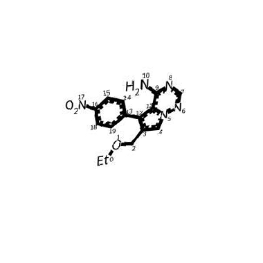 CCOCc1cn2ncnc(N)c2c1-c1ccc([N+](=O)[O-])cc1